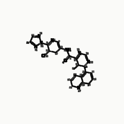 CC1C(C(=O)NC2=CN=C(n3nccn3)C(Cl)C2)=NC=NC1C1=C2C=CCN=C2CC=C1